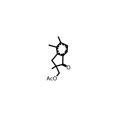 CC(=O)OCC1(C)Cc2c(ccc(C)c2C)C1=O